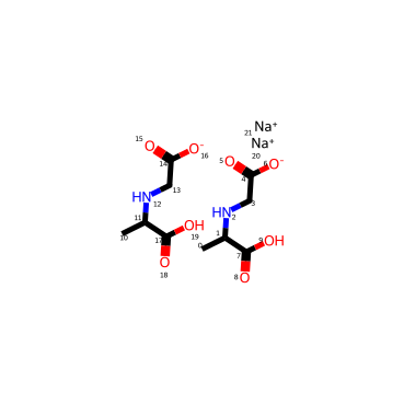 CC(NCC(=O)[O-])C(=O)O.CC(NCC(=O)[O-])C(=O)O.[Na+].[Na+]